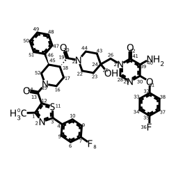 Cc1nc(-c2ccc(F)cc2)sc1C(=O)N1CC[C@@H](C(=O)N2CCC(O)(Cn3cnc(Oc4ccc(F)cc4)c(N)c3=O)CC2)[C@H](c2ccccc2)C1